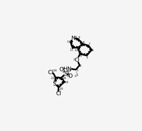 C[C@@H](COc1cccc2cnccc12)NS(=O)(=O)c1cc(Cl)sc1Cl